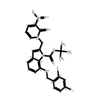 CC(C)(C)OC(=O)n1c(Cn2cccc([N+](=O)[O-])c2=O)cc2cccc(OCc3ccc(F)cc3F)c21